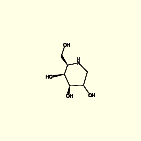 OC[C@H]1NCC(O)[C@@H](O)[C@H]1O